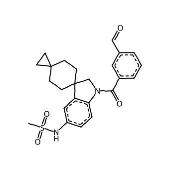 CS(=O)(=O)Nc1ccc2c(c1)C1(CCC3(CC3)CC1)CN2C(=O)c1cccc(C=O)c1